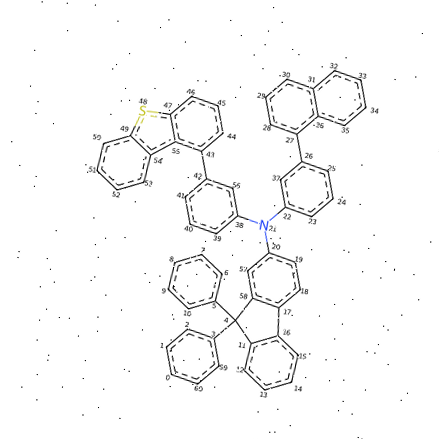 c1ccc(C2(c3ccccc3)c3ccccc3-c3ccc(N(c4cccc(-c5cccc6ccccc56)c4)c4cccc(-c5cccc6sc7ccccc7c56)c4)cc32)cc1